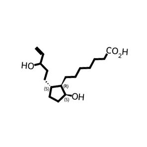 C=CC(O)CC[C@H]1CC[C@H](O)[C@@H]1CCCCCCC(=O)O